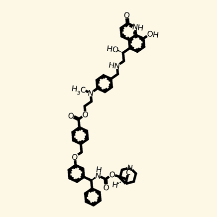 CN(CCOC(=O)c1ccc(COc2cccc([C@@H](NC(=O)O[C@H]3CN4CCC3CC4)c3ccccc3)c2)cc1)c1ccc(CNC[C@H](O)c2ccc(O)c3[nH]c(=O)ccc23)cc1